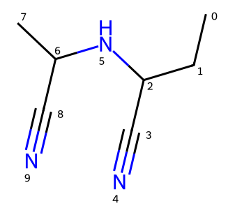 CCC(C#N)NC(C)C#N